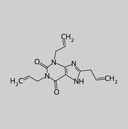 C=CCc1nc2c([nH]1)c(=O)n(CC=C)c(=O)n2CC=C